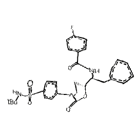 CC(C)(C)NS(=O)(=O)c1ccc(N2C[C@H]([C@H](Cc3ccccc3)NC(=O)c3ccc(F)cc3)OC2=O)cc1